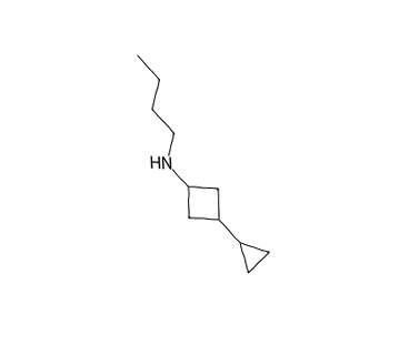 CCCCNC1CC(C2CC2)C1